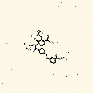 COC(=O)c1cccc(OCC2CCN(C(=O)[C@H](CC(C)C)N3CCN(C(C)=O)[C@@H](CC(C)C)C3=O)CC2)c1